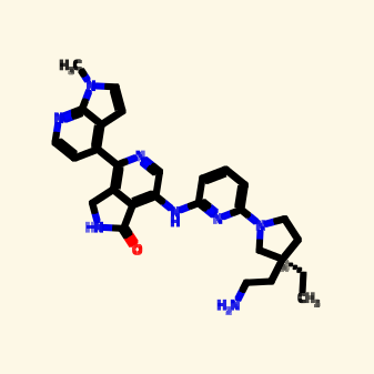 CC[C@@]1(CCN)CCN(c2cccc(Nc3cnc(-c4ccnc5c4ccn5C)c4c3C(=O)NC4)n2)C1